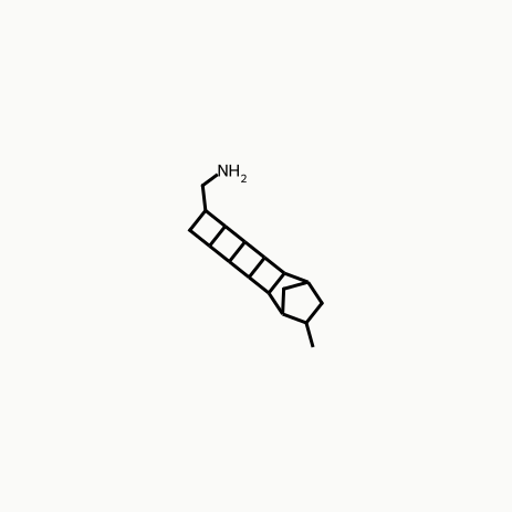 CC1CC2CC1C1C2C2C3C4C(CN)CC4C3C12